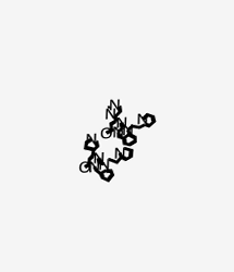 O=c1cc(-c2ccncc2)nc2n1Cc1ccccc1N2CCc1ccccn1.O=c1cc(-c2ccncn2)nc2n1Cc1ccccc1N2CCc1ccccn1